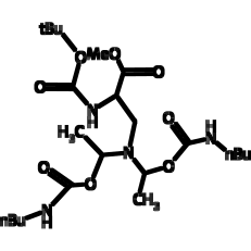 CCCCNC(=O)OC(C)N(CC(NC(=O)OC(C)(C)C)C(=O)OC)C(C)OC(=O)NCCCC